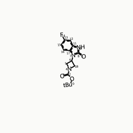 CC(C)(C)OC(=O)N1CC(n2c(=O)[nH]c3cc(F)ccc32)C1